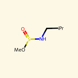 COS(=O)NCC(C)C